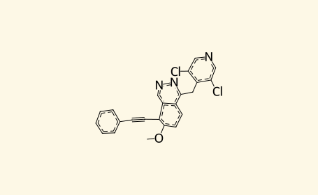 COc1ccc2c(Cc3c(Cl)cncc3Cl)nncc2c1C#Cc1ccccc1